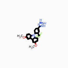 COc1ccc2c(c1)c1cc(OC)ccc1n2C1=C(C(F)(F)F)C=C(C2=NNNN2)CC1